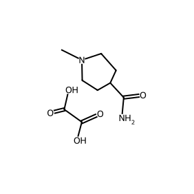 CN1CCC(C(N)=O)CC1.O=C(O)C(=O)O